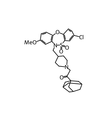 COc1ccc2c(c1)N(CC1CCN(CC(=O)C34CC5CC(CC(C5)C3)C4)CC1)S(=O)(=O)c1cc(Cl)ccc1O2